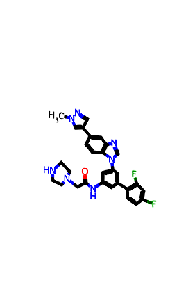 Cn1cc(-c2ccc3c(c2)ncn3-c2cc(NC(=O)CN3CCNCC3)cc(-c3ccc(F)cc3F)c2)cn1